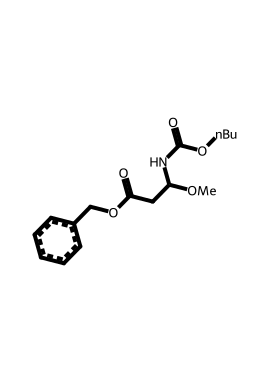 CCCCOC(=O)NC(CC(=O)OCc1ccccc1)OC